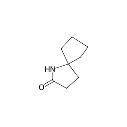 O=C1CCC2(CCCC2)N1